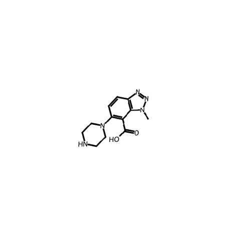 Cn1nnc2ccc(N3CCNCC3)c(C(=O)O)c21